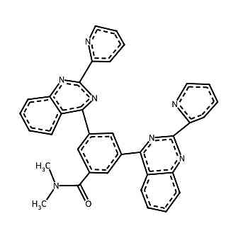 CN(C)C(=O)c1cc(-c2nc(-c3ccccn3)nc3ccccc23)cc(-c2nc(-c3ccccn3)nc3ccccc23)c1